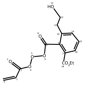 C=CC(=O)OOOC(=O)c1c(CCO)cccc1C(=O)OCC